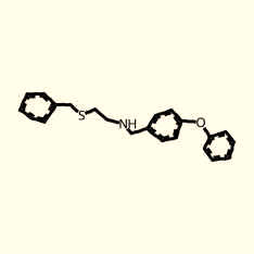 c1ccc(CSCCNCc2ccc(Oc3ccccc3)cc2)cc1